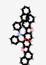 c1cc(-c2ccc3ccccc3c2)cc(N(c2ccccc2-c2cccc3c2oc2c4ccccc4ccc32)c2cccc3oc4c5ccccc5ccc4c23)c1